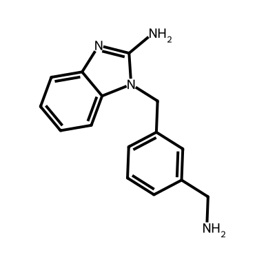 NCc1cccc(Cn2c(N)nc3ccccc32)c1